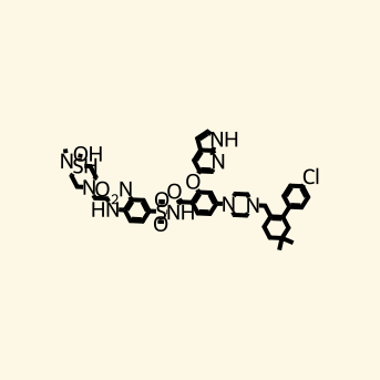 CN=[SH]1(O)CCN(CCNc2ccc(S(=O)(=O)NC(=O)c3ccc(N4CCN(CC5=C(c6ccc(Cl)cc6)CC(C)(C)CC5)CC4)cc3Oc3cnc4[nH]ccc4c3)cc2[N+](=O)[O-])CC1